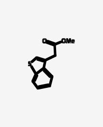 [CH2]OC(=O)Cc1csc2ccccc12